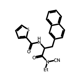 CCN(C#N)C(=O)C(Cc1ccc2ccccc2c1)NC(=O)c1cccs1